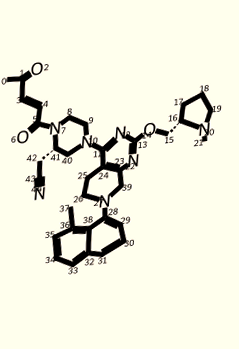 CC(=O)/C=C/C(=O)N1CCN(c2nc(OC[C@@H]3CCCN3C)nc3c2CCN(c2cccc4cccc(C)c24)C3)C[C@@H]1CC#N